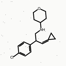 Clc1ccc(C(C=C2CC2)CNC2CCOCC2)cc1